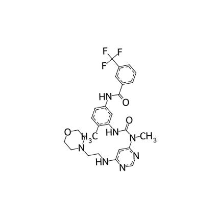 Cc1ccc(NC(=O)c2cccc(C(F)(F)F)c2)cc1NC(=O)N(C)c1cc(NCCN2CCOCC2)ncn1